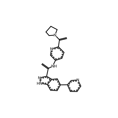 C=C(Nc1ccc(C(=C)N2CCCC2)nc1)c1n[nH]c2ccc(-c3cccnc3)cc12